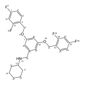 Fc1ccc(COc2cc(CNC3CCCCC3)cc(OCc3ccc(F)cc3F)c2)c(F)c1